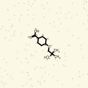 CC(C)(C)COC1CCC(C(=O)O)CC1